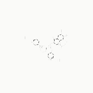 Cc1ccc(N2CCC[C@H](N(Cc3ccnc(C)c3)Cc3cn4c5c(c(F)c(F)cc5c3=O)OCC4C)C2)cn1